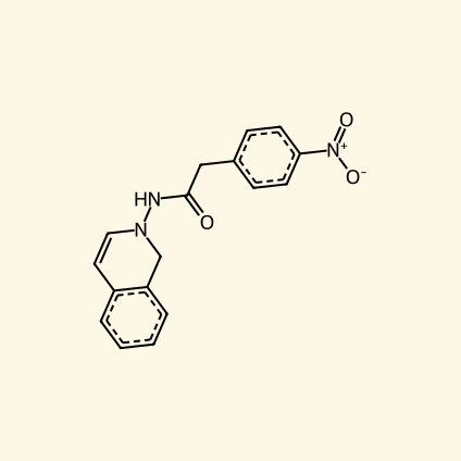 O=C(Cc1ccc([N+](=O)[O-])cc1)NN1C=Cc2ccccc2C1